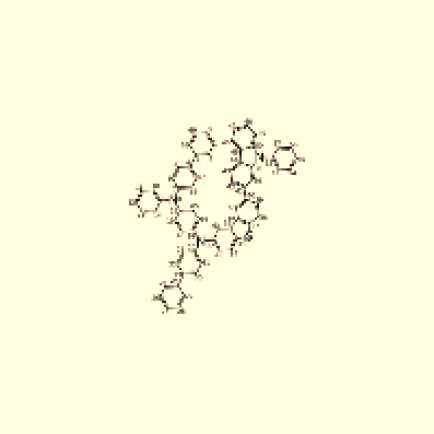 c1ccc(-c2ccc(N(c3ccccc3)c3ccc(N(c4ccc(-c5ccccc5)cc4)c4ccc5sc6ccc(-c7ccc8c9ccccc9n(-c9ccccc9)c8c7)cc6c5c4)cc3)cc2)cc1